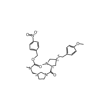 COc1ccc(CS[C@H]2C[C@@H](C(=O)N3CC[C@@H](CN(C)C(=O)OCc4ccc([N+](=O)[O-])cc4)C3)N(C)C2)cc1